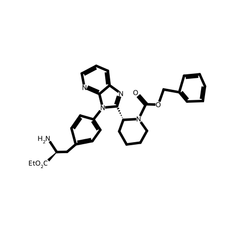 CCOC(=O)[C@@H](N)Cc1ccc(-n2c([C@H]3CCCCN3C(=O)OCc3ccccc3)nc3cccnc32)cc1